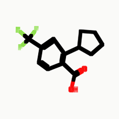 O=C(O)c1ccc(C(F)(F)F)cc1C1CCCC1